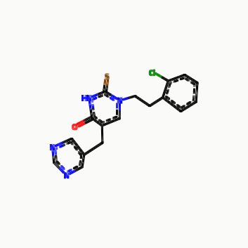 O=c1[nH]c(=S)n(CCc2ccccc2Cl)cc1Cc1cncnc1